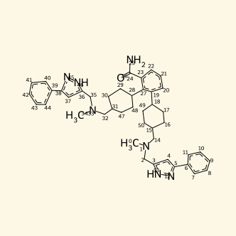 CN(Cc1cc(-c2ccccc2)n[nH]1)CC1CCC(c2cccc(C(N)=O)c2C2CCC(CN(C)Cc3cc(-c4ccccc4)n[nH]3)CC2)CC1